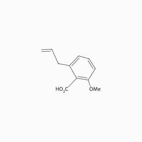 C=CCc1cccc(OC)c1C(=O)O